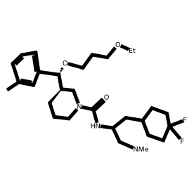 CCOCCCO[C@@H](c1cccc(C)c1)[C@@H]1CCCN(C(=O)NC(CNC)CC2CCC(F)(F)CC2)C1